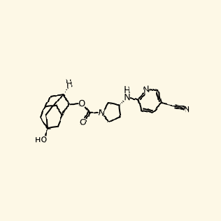 N#Cc1ccc(N[C@@H]2CCN(C(=O)OC3C4CC5C[C@@H]3C[C@@](O)(C5)C4)C2)nc1